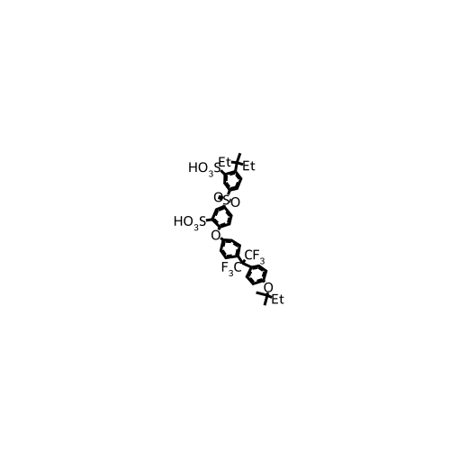 CCC(C)(C)Oc1ccc(C(c2ccc(Oc3ccc(S(=O)(=O)c4ccc(C(C)(CC)CC)c(S(=O)(=O)O)c4)cc3S(=O)(=O)O)cc2)(C(F)(F)F)C(F)(F)F)cc1